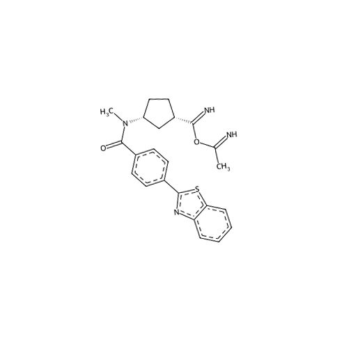 CC(=N)OC(=N)[C@H]1CC[C@@H](N(C)C(=O)c2ccc(-c3nc4ccccc4s3)cc2)C1